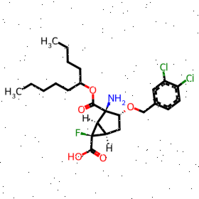 CCCCCC(CCCC)OC(=O)[C@@]1(N)[C@H]2[C@@H](C[C@H]1OCc1ccc(Cl)c(Cl)c1)[C@]2(F)C(=O)O